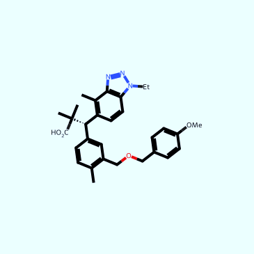 CCn1nnc2c(C)c([C@H](c3ccc(C)c(COCc4ccc(OC)cc4)c3)C(C)(C)C(=O)O)ccc21